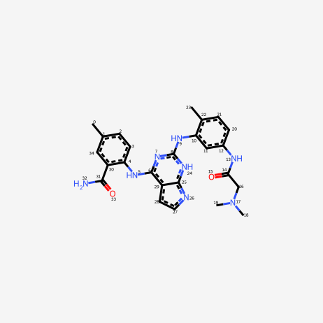 Cc1ccc(Nc2nc(Nc3cc(NC(=O)CN(C)C)ccc3C)[nH]c3nccc2-3)c(C(N)=O)c1